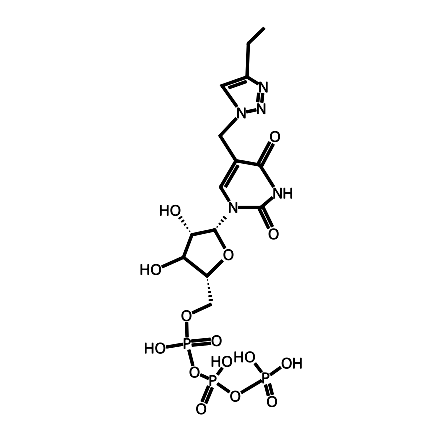 CCc1cn(Cc2cn([C@@H]3O[C@H](COP(=O)(O)OP(=O)(O)OP(=O)(O)O)C(O)[C@@H]3O)c(=O)[nH]c2=O)nn1